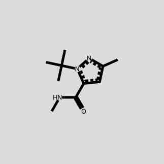 CNC(=O)c1cc(C)nn1C(C)(C)C